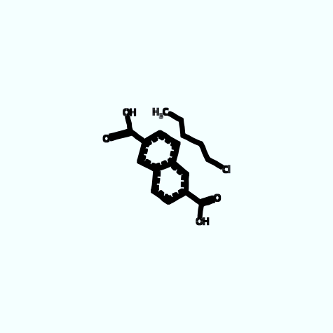 CCCCCCl.O=C(O)c1ccc2cc(C(=O)O)ccc2c1